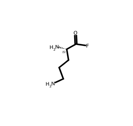 NCCC[C@H](N)C(=O)F